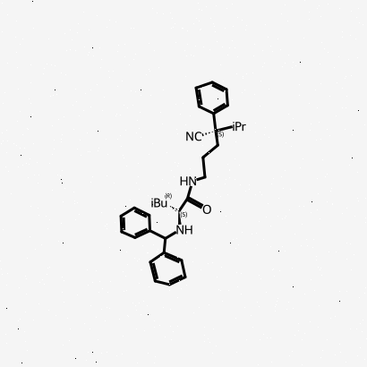 CC[C@@H](C)[C@H](NC(c1ccccc1)c1ccccc1)C(=O)NCCC[C@@](C#N)(c1ccccc1)C(C)C